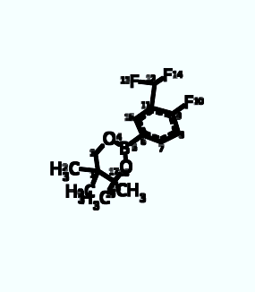 CC1(C)COB(c2ccc(F)c(C(F)F)c2)OC1(C)C